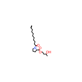 C=CCCCCCCCCC(=O)N1CCCC1C(=O)OCCC(C)O